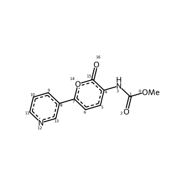 COC(=O)Nc1ccc(-c2cccnc2)oc1=O